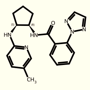 Cc1ccc(N[C@H]2CCC[C@H]2NC(=O)c2ccccc2-n2nccn2)nc1